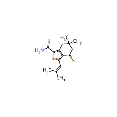 CC(C)=Cc1sc(C(N)=S)c2c1C(=S)CC(C)(C)C2